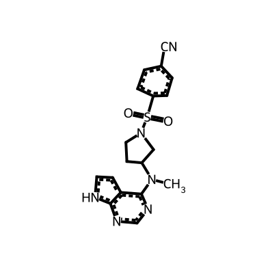 CN(c1ncnc2[nH]ccc12)C1CCN(S(=O)(=O)c2ccc(C#N)cc2)C1